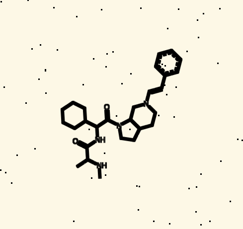 CNC(C)C(=O)NC(C(=O)N1CCC2CCN(C=Cc3ccccc3)CC21)C1CCCCC1